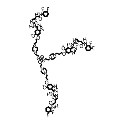 COc1cc2c(Nc3ncc(CC(=O)Nc4cccc(F)c4F)s3)ncnc2cc1OCCCN1CCN(CCOP(=O)(OCCN2CCN(CCCOc3cc4ncnc(Nc5ncc(CC(=O)Nc6cccc(F)c6F)s5)c4cc3OC)CC2)OCCN2CCN(CCCOc3cc4ncnc(Nc5ncc(CC(=O)Nc6cccc(F)c6F)s5)c4cc3OC)CC2)CC1